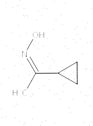 C/C(=N/O)C1CC1